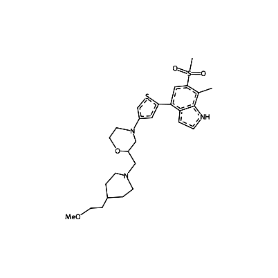 COCCC1CCN(CC2CN(c3csc(-c4cc(S(C)(=O)=O)c(C)c5[nH]ccc45)c3)CCO2)CC1